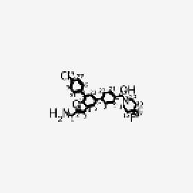 NCc1cc2cc(-c3ccc(C(O)N4CCC(F)(F)CC4)cc3)cc(-c3ccc(Cl)cc3)c2o1